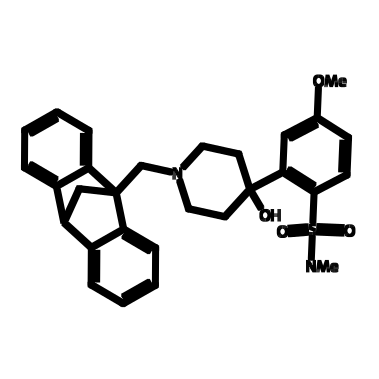 CNS(=O)(=O)c1ccc(OC)cc1C1(O)CCN(CC23CC(c4ccccc42)c2ccccc23)CC1